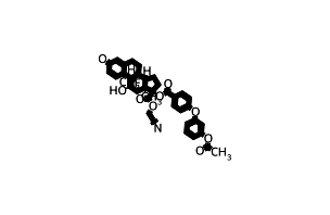 CC(=O)Oc1cccc(Oc2ccc(C(=O)O[C@]3(C(=O)OCC#N)CC[C@H]4[C@@H]5CCC6=CC(=O)C=C[C@]6(C)[C@@]5(F)[C@@H](O)C[C@@]43C)cc2)c1